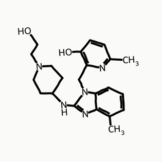 Cc1ccc(O)c(Cn2c(NC3CCN(CCO)CC3)nc3c(C)cccc32)n1